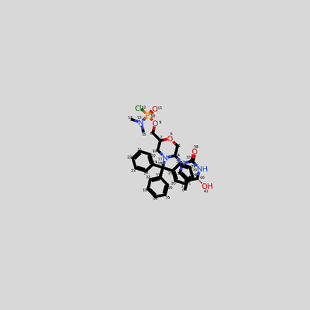 CC1=CN(C2COC(COP(=O)(Cl)N(C)C)CN2C(c2ccccc2)(c2ccccc2)c2ccccc2)C(=O)N[C@@H]1O